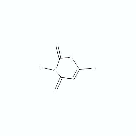 CCc1cc(=O)n(Br)c(=O)[nH]1